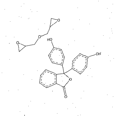 C(OCC1CO1)C1CO1.O=C1OC(c2ccc(O)cc2)(c2ccc(O)cc2)c2ccccc21